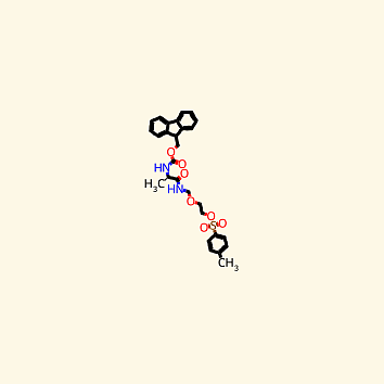 Cc1ccc(S(=O)(=O)OCCOCNC(=O)[C@H](C)NC(=O)OCC2c3ccccc3-c3ccccc32)cc1